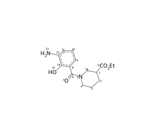 CCOC(=O)C1CCCN(C(=O)c2cccc(N)c2O)C1